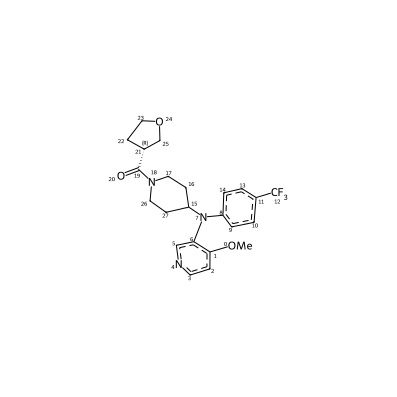 COc1ccncc1N(c1ccc(C(F)(F)F)cc1)C1CCN(C(=O)[C@@H]2CCOC2)CC1